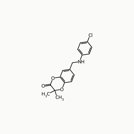 CC1(C)Oc2ccc(CNc3ccc(Cl)cc3)cc2OC1=O